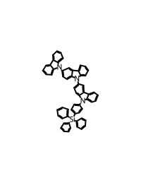 c1ccc([Si](c2ccccc2)(c2ccccc2)c2ccc(-n3c4ccccc4c4cc(-n5c6ccccc6c6cc(-n7c8ccccc8c8ccccc87)ccc65)ccc43)cc2)cc1